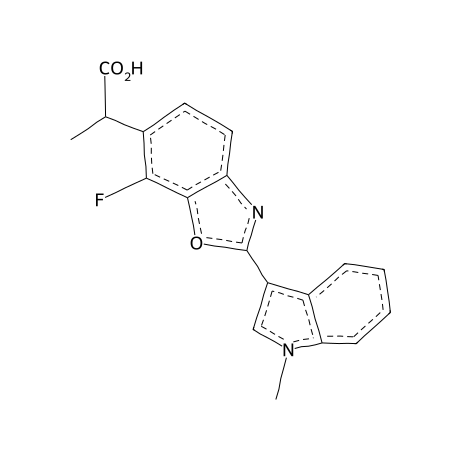 CC(C(=O)O)c1ccc2nc(-c3cn(C)c4ccccc34)oc2c1F